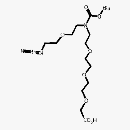 CC(C)(C)OC(=O)N(CCOCCN=[N+]=[N-])CCOCCOCCOCC(=O)O